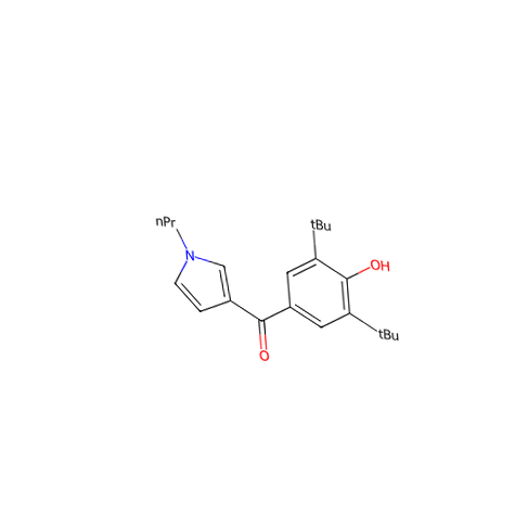 CCCn1ccc(C(=O)c2cc(C(C)(C)C)c(O)c(C(C)(C)C)c2)c1